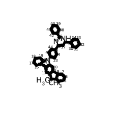 CC1(C)c2ccccc2-c2cc3c(cc21)c1ccccc1n3-c1ccc(C2=CC(c3ccccc3)NC(c3ccccc3)=N2)cc1